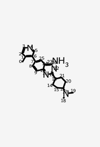 Cc1ccncc1-c1ccc2nc(C3CCC(N(C)C)CC3)ncc2c1.N